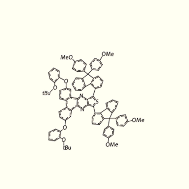 COc1ccc(C2(c3ccc(OC)cc3)c3ccccc3-c3c(-c4sc(-c5cccc6c5-c5ccccc5C6(c5ccc(OC)cc5)c5ccc(OC)cc5)c5nc6c7cc(Oc8ccccc8OC(C)(C)C)ccc7c7ccc(Oc8ccccc8OC(C)(C)C)cc7c6nc45)cccc32)cc1